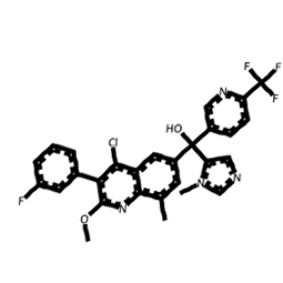 COc1nc2c(C)cc(C(O)(c3ccc(C(F)(F)F)nc3)c3cncn3C)cc2c(Cl)c1-c1cccc(F)c1